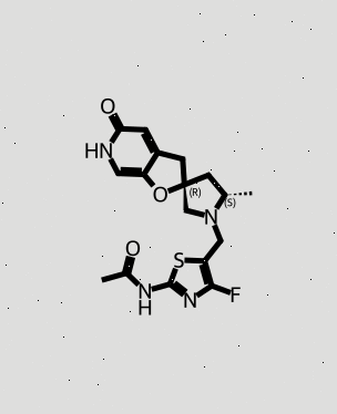 CC(=O)Nc1nc(F)c(CN2C[C@@]3(Cc4cc(=O)[nH]cc4O3)C[C@@H]2C)s1